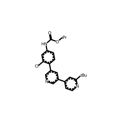 CC(C)OC(=O)Nc1ccc(-c2cncc(-c3ccnc(C(C)(C)C)c3)c2)c(Cl)c1